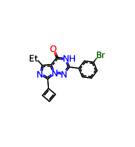 CCc1nc(C2=CC=C2)n2nc(-c3cccc(Br)c3)[nH]c(=O)c12